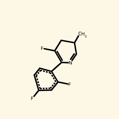 CC1C=NC(c2ccc(F)cc2F)=C(F)C1